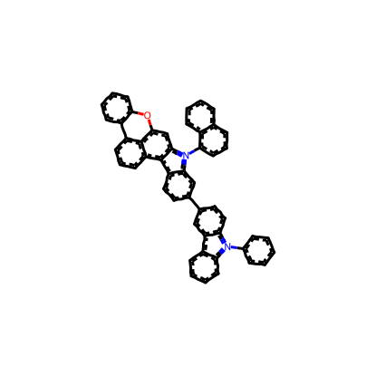 c1ccc(-n2c3ccccc3c3cc(-c4ccc5c6c7cccc8c7c(cc6n(-c6cccc7ccccc67)c5c4)Oc4ccccc4-8)ccc32)cc1